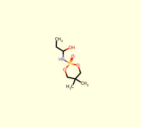 CCC(O)NP1(=O)OCC(C)(C)CO1